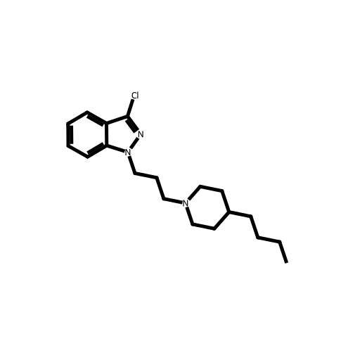 CCCCC1CCN(CCCn2nc(Cl)c3ccccc32)CC1